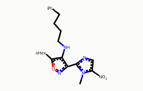 CCCCCCc1onc(-c2ncc([N+](=O)[O-])n2C)c1NCCCCC(C)C